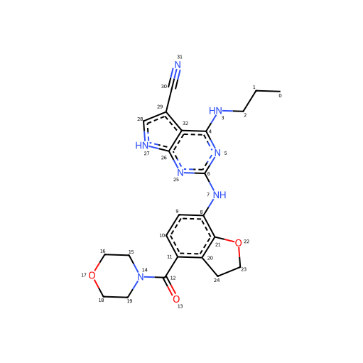 CCCNc1nc(Nc2ccc(C(=O)N3CCOCC3)c3c2OCC3)nc2[nH]cc(C#N)c12